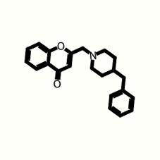 O=c1cc(CN2CCC(Cc3ccccc3)CC2)oc2ccccc12